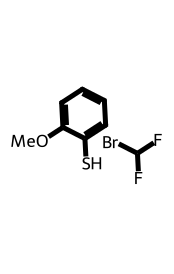 COc1ccccc1S.FC(F)Br